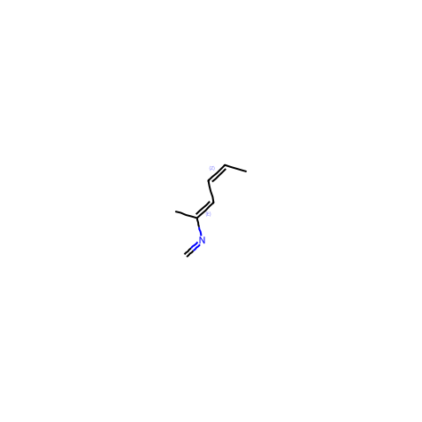 C=N/C(C)=C/C=C\C